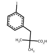 CC(C)(Cc1cccc(I)c1)C(=O)O